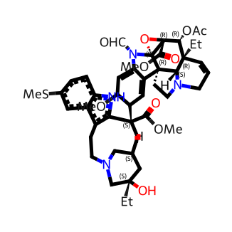 CC[C@]1(O)C[C@H]2CN(CCc3c([nH]c4ccc(SC)cc34)[C@@](C(=O)OC)(C3C=C4C(=CC3OC)N(C=O)[C@@]35O[C@]3(C(=O)OC)[C@H](OC(C)=O)[C@]3(CC)C=CCN6CC[C@]45[C@@H]63)C2)C1